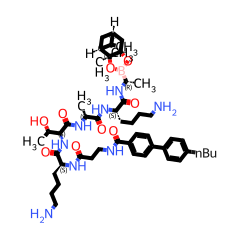 CCCCc1ccc(-c2ccc(C(=O)NCCC(=O)N[C@@H](CCCCN)C(=O)N[C@H](C(=O)N[C@@H](C)C(=O)N[C@@H](CCCCN)C(=O)N[C@@H](C)B3OC4C[C@@H]5C[C@@H](C5(C)C)[C@]4(C)O3)C(C)O)cc2)cc1